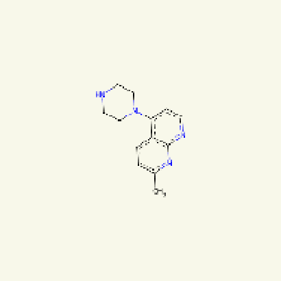 Cc1ccc2c(N3CCNCC3)ccnc2n1